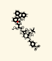 CON=C(C(=O)NC1C(=O)N2C1CSC(SCc1ccc([N+](=O)[O-])cc1)C2(O)C(=O)OC(C)(C)C)c1csc(NC(c2ccccc2)(c2ccccc2)c2ccccc2)n1